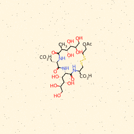 CC(=O)OCCSSC[C@H](NC(=O)[C@@H](NC(=O)[C@H](CC(=O)O)NC(=O)[C@@H](C)[C@@H](O)[C@H](O)[C@H](O)CO)[C@@H](O)[C@H](O)[C@H](O)CO)C(=O)O